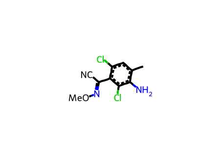 CON=C(C#N)c1c(Cl)cc(C)c(N)c1Cl